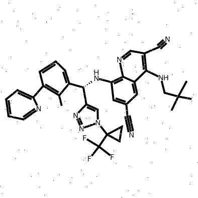 Cc1c(-c2ccccn2)cccc1[C@H](Nc1cc(C#N)cc2c(NCC(C)(C)C)c(C#N)cnc12)c1cn(C2(C(F)(F)F)CC2)nn1